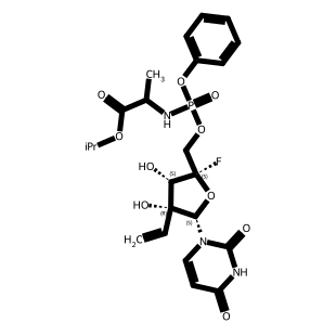 C=C[C@]1(O)[C@@H](n2ccc(=O)[nH]c2=O)O[C@](F)(COP(=O)(NC(C)C(=O)OC(C)C)Oc2ccccc2)[C@H]1O